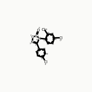 O=S1ON=C(c2ccc(Cl)cc2)N1c1ccc(Cl)cc1Cl